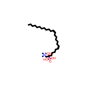 CCCCCCCCCCC/C=C\CCCCC/C=C\CCCCC(O)(C[N+](C)(C)C)P(=O)(O)O